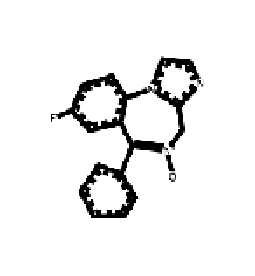 [O-][N+]1=C(c2ccccc2)c2cc(F)ccc2-n2ccnc2C1